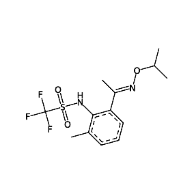 C/C(=N\OC(C)C)c1cccc(C)c1NS(=O)(=O)C(F)(F)F